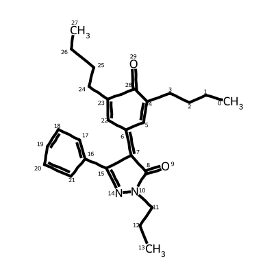 CCCCC1=CC(=C2C(=O)N(CCC)N=C2c2ccccc2)C=C(CCCC)C1=O